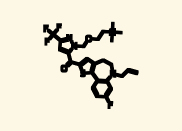 C=CCN1CCc2cc(C(=O)c3cc(C(F)(F)F)nn3COCC[Si](C)(C)C)sc2-c2ccc(F)cc21